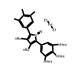 CCCCCCc1cc(C2=C(CCCC)C(CCCC)=C(c3cc(C)c(C)c(C)c3)[N+]2=[N-])cc(CCCCCC)c1CCCCCC.C[CH2][Pd][CH2]C